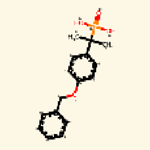 CC(C)(c1ccc(OCc2ccccc2)cc1)P(=O)(O)O